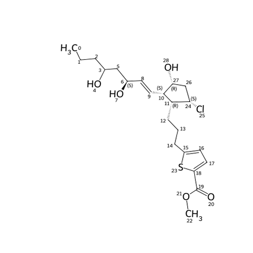 CCCC(O)C[C@H](O)C=C[C@H]1[C@@H](CCCc2ccc(C(=O)OC)s2)[C@@H](Cl)C[C@H]1O